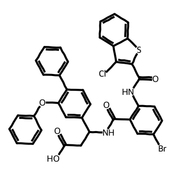 O=C(O)CC(NC(=O)c1cc(Br)ccc1NC(=O)c1sc2ccccc2c1Cl)c1ccc(-c2ccccc2)c(Oc2ccccc2)c1